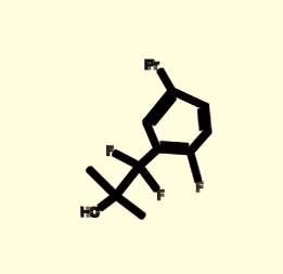 CC(C)c1ccc(F)c(C(F)(F)C(C)(C)O)c1